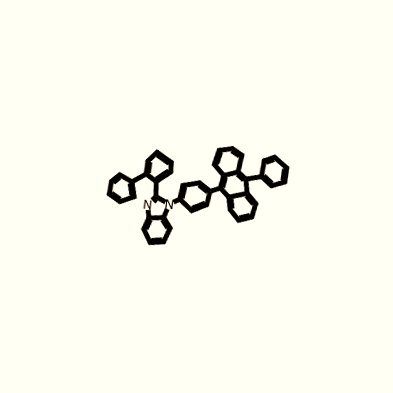 c1ccc(-c2ccccc2-c2nc3ccccc3n2-c2ccc(-c3c4ccccc4c(-c4ccccc4)c4ccccc34)cc2)cc1